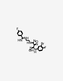 N=C(NCCNc1nonc1/C(=N/O)Nc1ccc(F)c(Br)c1)c1ccc(F)cc1